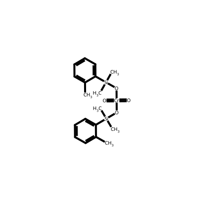 Cc1ccccc1[Si](C)(C)[O][Cr](=[O])(=[O])[O][Si](C)(C)c1ccccc1C